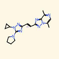 Cc1ncc(C)n2nc(/C=C/c3nc(N4CCCC4)n(C4CC4)n3)nc12